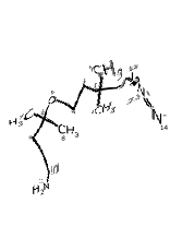 CC(C)(CCOC(C)(C)CCN)N=[N+]=[N-]